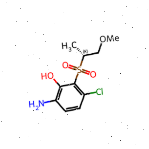 COC[C@@H](C)S(=O)(=O)c1c(Cl)ccc(N)c1O